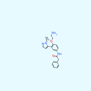 Cn1nccc1-c1cc(NC(=O)Cc2ccccc2)ccc1OCCN